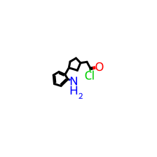 Nc1ccccc1C1CCC(CC(=O)Cl)C1